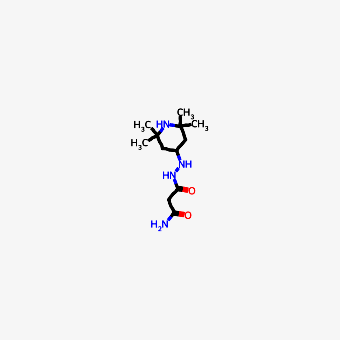 CC1(C)CC(NNC(=O)CC(N)=O)CC(C)(C)N1